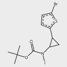 CC(C)(C)OC(=O)N(I)C1CC1c1ccc(Br)s1